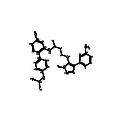 C[C@@H](CCOc1c(-c2nccc(N)n2)cnn1C)Nc1cc(Cl)ncc1-c1cnc(OC(F)F)cn1